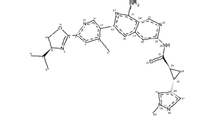 Cc1cc(C2=N[C@@H](C(C)C)CO2)ncc1-c1cc2cc(NC(=O)[C@H]3C[C@@H]3c3cnn(C)c3)ncc2c(N)n1